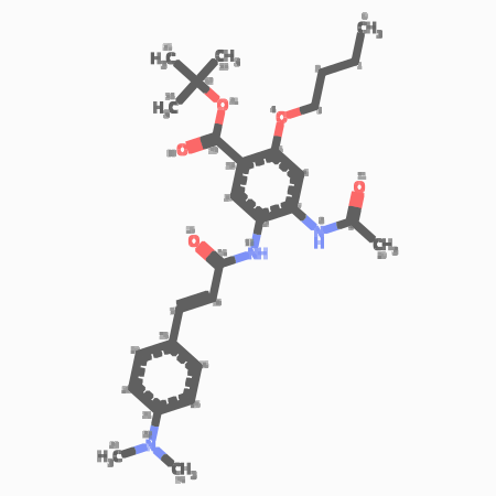 CCCCOc1cc(NC(C)=O)c(NC(=O)C=Cc2ccc(N(C)C)cc2)cc1C(=O)OC(C)(C)C